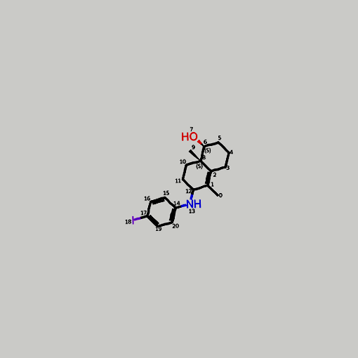 CC1=C2CCC[C@H](O)[C@@]2(C)CCC1Nc1ccc(I)cc1